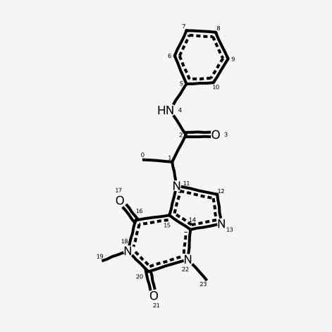 CC(C(=O)Nc1ccccc1)n1cnc2c1c(=O)n(C)c(=O)n2C